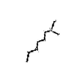 CC[N]CCCN(C)C